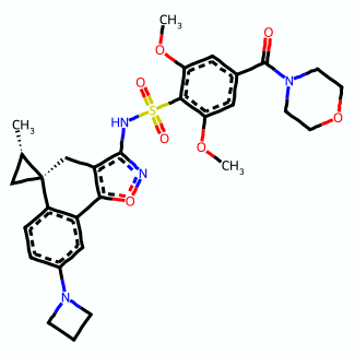 COc1cc(C(=O)N2CCOCC2)cc(OC)c1S(=O)(=O)Nc1noc2c1C[C@@]1(C[C@@H]1C)c1ccc(N3CCC3)cc1-2